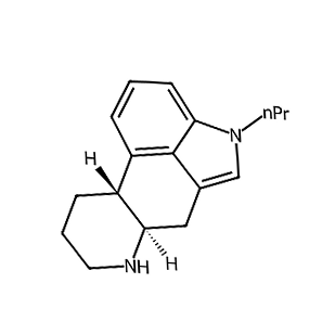 CCCn1cc2c3c(cccc31)[C@H]1CCCN[C@@H]1C2